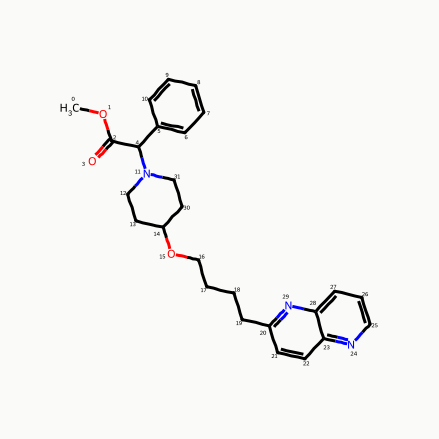 COC(=O)C(c1ccccc1)N1CCC(OCCCCc2ccc3ncccc3n2)CC1